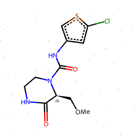 COC[C@H]1C(=O)NCCN1C(=O)Nc1csc(Cl)c1